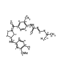 COc1nc(N[C@H]2CCN(C(=O)c3ccc(NC(=O)/C=C/CN(C)C)c(C)c3)C2)ncc1Cl